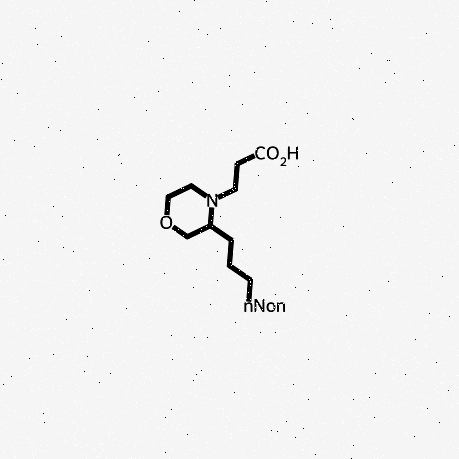 CCCCCCCCCCCCC1COCCN1CCC(=O)O